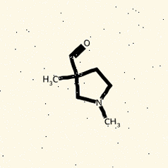 CN1CCC(C)(C=O)C1